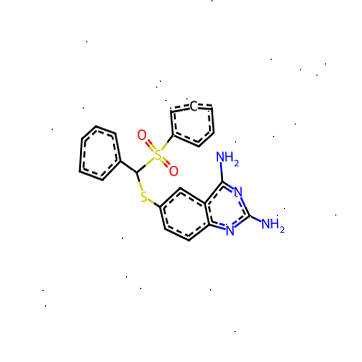 Nc1nc(N)c2cc(SC(c3ccccc3)S(=O)(=O)c3ccccc3)ccc2n1